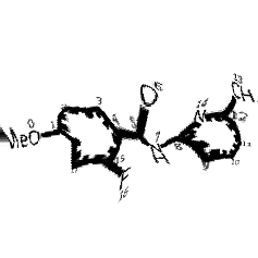 COc1ccc(C(=O)Nc2cccc(C)n2)c(F)c1